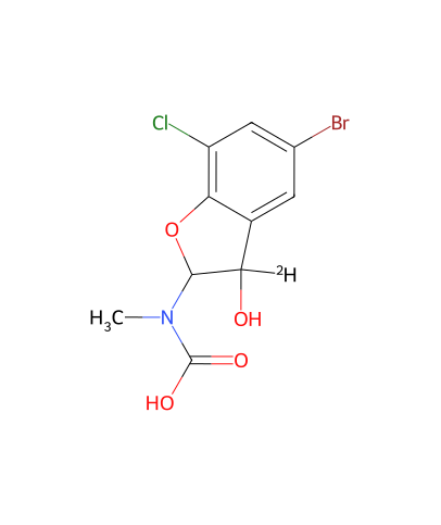 [2H]C1(O)c2cc(Br)cc(Cl)c2OC1N(C)C(=O)O